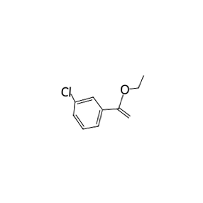 C=C(OCC)c1cccc(Cl)c1